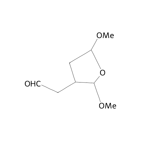 COC1CC(CC=O)C(OC)O1